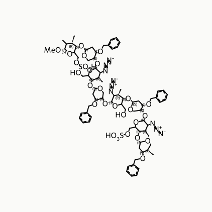 CO[C@H]1OC(COS(=O)(=O)O)[C@@H](O[C@H]2C[C@H](OCc3ccccc3)[C@H](O[C@H]3OC(CO)[C@H](O[C@H]4C[C@H](OCc5ccccc5)[C@H](O[C@H]5OC(CO)[C@@H](O[C@H]6C[C@H](OCc7ccccc7)[C@H](O[C@@H]7OC(COS(=O)(=O)O)[C@H](O[C@H]8C[C@H](OCc9ccccc9)[C@H](C)CO8)[C@H](C)C7N=[N+]=[N-])CO6)[C@H](C)C5N=[N+]=[N-])CO4)[C@H](C)C3N=[N+]=[N-])CO2)[C@H](C)C1C